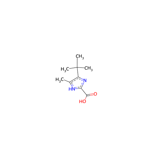 Cc1[nH]c(C(=O)O)nc1C(C)(C)C